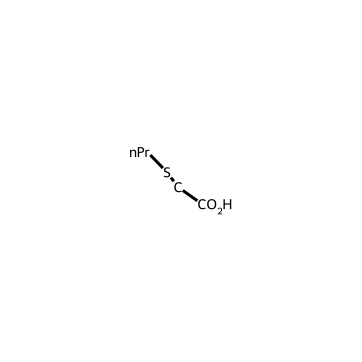 [CH2]CCSCC(=O)O